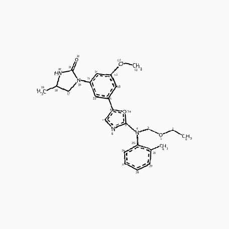 CCOCN(c1ncc(-c2cc(OC)cc(N3CC(C)NC3=O)c2)o1)c1ccccc1C